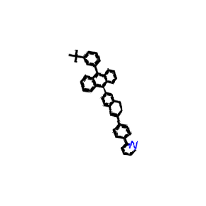 CC(C)(C)c1cccc(-c2c3ccccc3c(-c3ccc4c(c3)CCC(c3ccc(-c5ccccn5)cc3)=C4)c3ccccc23)c1